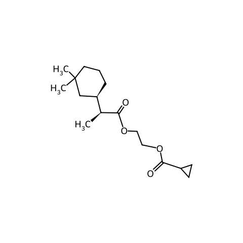 C[C@H](C(=O)OCCOC(=O)C1CC1)[C@@H]1CCCC(C)(C)C1